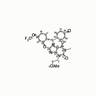 COCCn1c(=O)n(C)c(=O)c2c1nc(Oc1cccc(OC(F)(F)F)c1)n2Cc1ccc(Cl)cc1